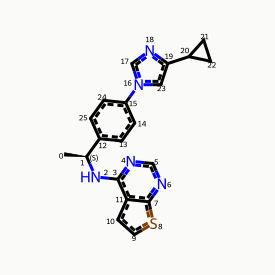 C[C@H](Nc1ncnc2sccc12)c1ccc(-n2cnc(C3CC3)c2)cc1